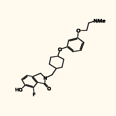 CNCCOc1cccc(OC2CCC(CN3Cc4ccc(O)c(F)c4C3=O)CC2)c1